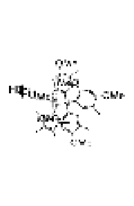 COc1cc(OC)c([Si]([Ti][C]2=C(C)C(C)=C(C)C2C)(c2cc(C)c(OC)cc2OC)c2cc(C)c(OC)cc2OC)cc1C.Cl.Cl.Cl